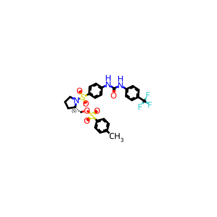 Cc1ccc(S(=O)(=O)OC[C@@H]2CCCN2S(=O)(=O)c2ccc(NC(=O)Nc3ccc(C(F)(F)F)cc3)cc2)cc1